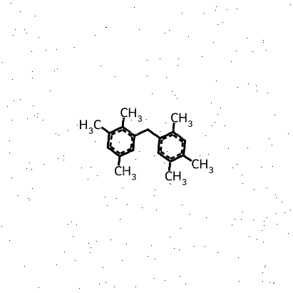 Cc1cc(C)c(C)c(Cc2cc(C)c(C)cc2C)c1